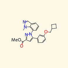 COC(=O)c1cc(-c2cccc(OCC3CCC3)c2)n(-c2cccc3cnn(C)c23)n1